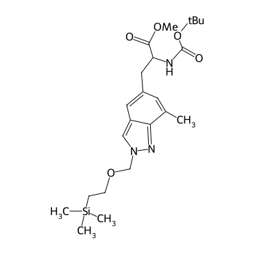 COC(=O)C(Cc1cc(C)c2nn(COCC[Si](C)(C)C)cc2c1)NC(=O)OC(C)(C)C